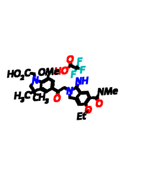 CCOc1cc2c(cc1C(=O)NC)C(=N)N(CC(=O)c1cc(OC)c3c(c1)C(C)(C)CN3CC(=O)O)C2.O=C(O)C(F)(F)F